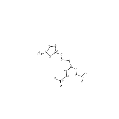 CC(C)CCN(CCCN1CCC(O)C1)CCC(C)C